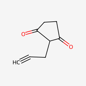 C#CCC1C(=O)CCC1=O